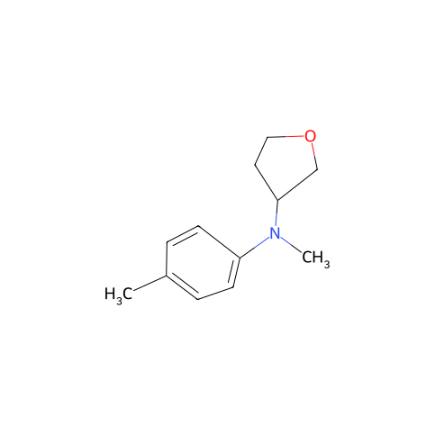 Cc1ccc(N(C)C2CCOC2)cc1